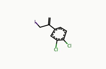 C=C(CI)c1ccc(Cl)c(Cl)c1